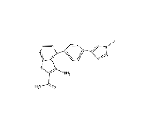 Cn1cc(-c2ccc(-c3ccnc4sc(C(N)=O)c(N)c34)cc2)cn1